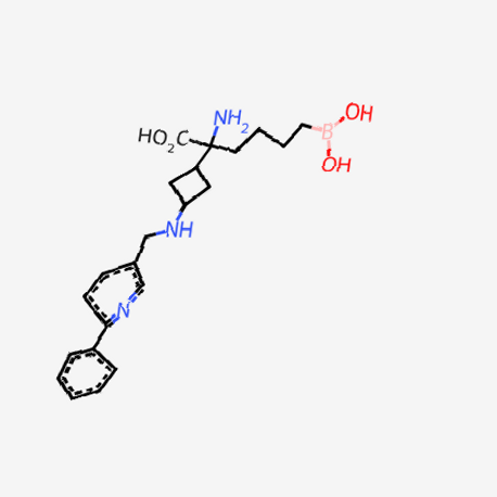 NC(CCCCB(O)O)(C(=O)O)C1CC(NCc2ccc(-c3ccccc3)nc2)C1